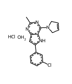 Cc1nc(N2CC=CC2)c2[nH]c(-c3cccc(Cl)c3)cc2n1.Cl.O